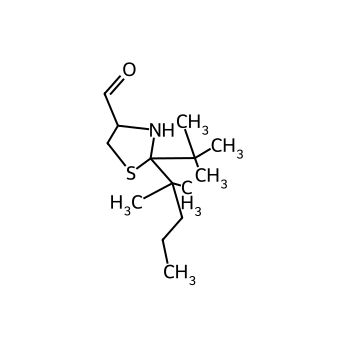 CCCC(C)(C)C1(C(C)(C)C)NC(C=O)CS1